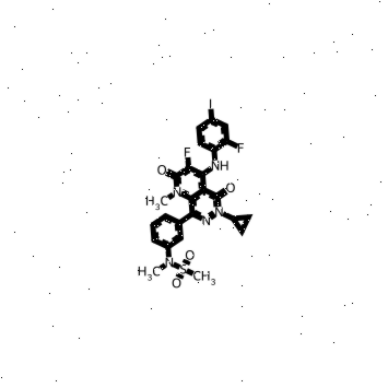 CN(c1cccc(-c2nn(C3CC3)c(=O)c3c(Nc4ccc(I)cc4F)c(F)c(=O)n(C)c23)c1)S(C)(=O)=O